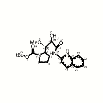 CO[C@@H](C1CCCN1C(=O)OC(C)(C)C)[C@@H](C)C(=O)Nc1ccc2ccccc2n1